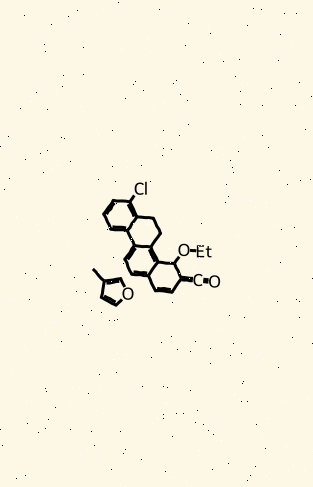 CCOC1C(=C=O)C=Cc2ccc3c(c21)CCc1c(Cl)cccc1-3.Cc1ccoc1